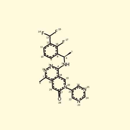 Cc1nnc(N[C@H](C)c2cccc(C(F)F)c2F)c2cn(-c3cncnc3)c(=O)cc12